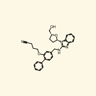 N#CCCCOc1cc(CNc2nc3ccccc3n2[C@H]2CC[C@@H](CO)O2)ccc1-c1ccccc1